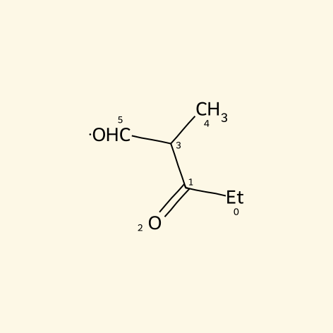 CCC(=O)C(C)[C]=O